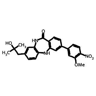 COc1cc(-c2ccc3c(c2)Nc2ccc(CC(C)(C)O)cc2NC3=O)ccc1[N+](=O)[O-]